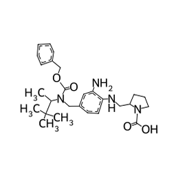 CC(N(Cc1ccc(NCC2CCCN2C(=O)O)c(N)c1)C(=O)OCc1ccccc1)C(C)(C)C